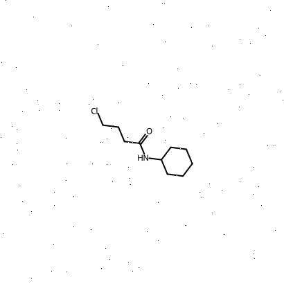 O=C(CCCCl)NC1CCCCC1